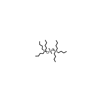 CCC[CH2][Sn]([CH2]CCC)([CH2]CCC)[O][Si](C)(C)[O][Sn]([CH2]CCC)([CH2]CCC)[CH2]CCC